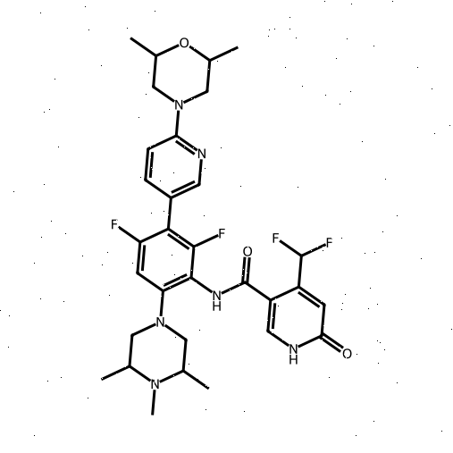 CC1CN(c2ccc(-c3c(F)cc(N4CC(C)N(C)C(C)C4)c(NC(=O)c4c[nH]c(=O)cc4C(F)F)c3F)cn2)CC(C)O1